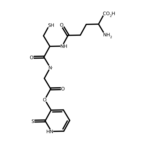 NC(CCC(=O)NC(CS)C(=O)[N]CC(=O)Oc1ccc[nH]c1=S)C(=O)O